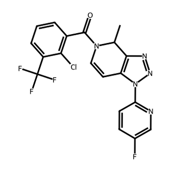 CC1c2nnn(-c3ccc(F)cn3)c2C=CN1C(=O)c1cccc(C(F)(F)F)c1Cl